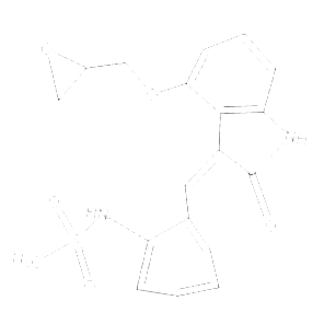 CS(=O)(=O)Nc1ccccc1C=C1C(=O)Nc2cccc(OCC3CO3)c21